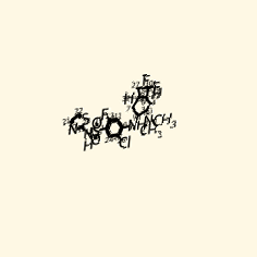 CN(C)[C@H]1C[C@H]2[C@@H](C[C@@H]1Nc1cc(F)c(S(=O)(=O)Nc3nccs3)cc1Cl)CC2(F)F